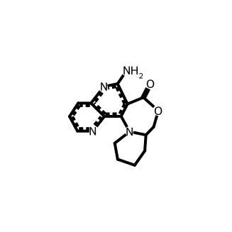 Nc1nc2cccnc2c2c1C(=O)OCC1CCCCN21